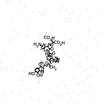 C[N+](C)(CCNC(=O)c1ccc(O)c(O)c1Cl)CC1=C(c2nnn[nH]2)N2C(=O)[C@@H](NC(=O)/C(=N\O[C@@H](CC(=O)O)C(=O)O)c3csc(N)n3)[C@H]2SC1